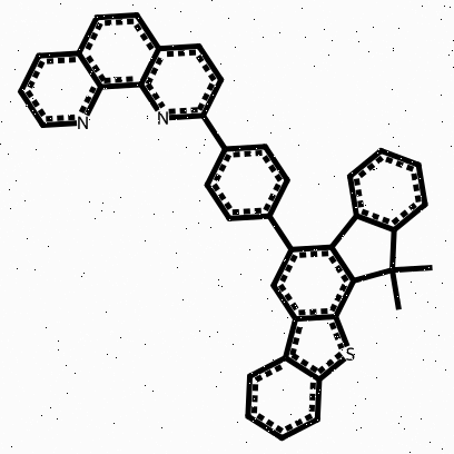 CC1(C)c2ccccc2-c2c(-c3ccc(-c4ccc5ccc6cccnc6c5n4)cc3)cc3c(sc4ccccc43)c21